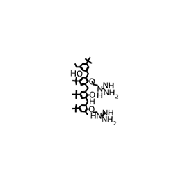 CCc1cc(C(C)(C)C)cc(Cc2cc(C(C)(C)C)cc(Cc3cc(C(C)(C)C)cc(Cc4cc(C(C)(C)C)cc(C)c4OCCNC(=N)N)c3O)c2OCCNC(=N)N)c1O